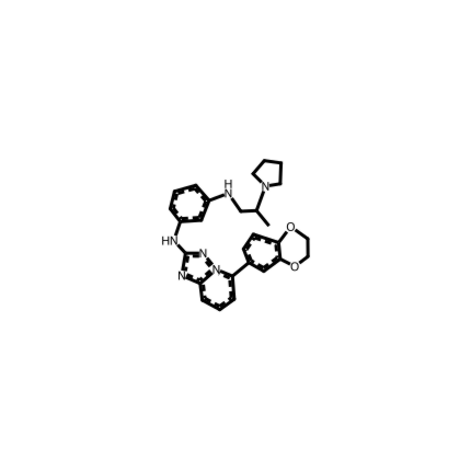 CC(CNc1cccc(Nc2nc3cccc(-c4ccc5c(c4)OCCO5)n3n2)c1)N1CCCC1